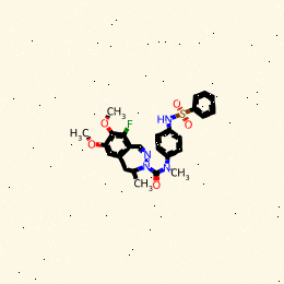 COc1cc2c(c(F)c1OC)C=NN(C(=O)N(C)c1ccc(NS(=O)(=O)c3ccccc3)cc1)C(C)C2